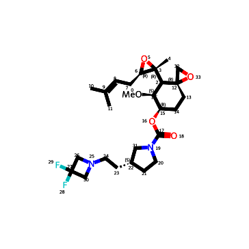 CO[C@H]1C([C@@]2(C)O[C@@H]2CC=C(C)C)[C@]2(CC[C@H]1OC(=O)N1CC[C@H](CCN3CC(F)(F)C3)C1)CO2